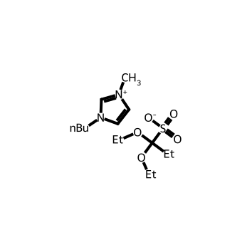 CCCCn1cc[n+](C)c1.CCOC(CC)(OCC)S(=O)(=O)[O-]